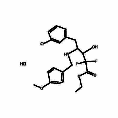 CCOC(=O)C(F)(F)C(O)C(Cc1cccc(Cl)c1)NCc1ccc(OC)cc1.Cl